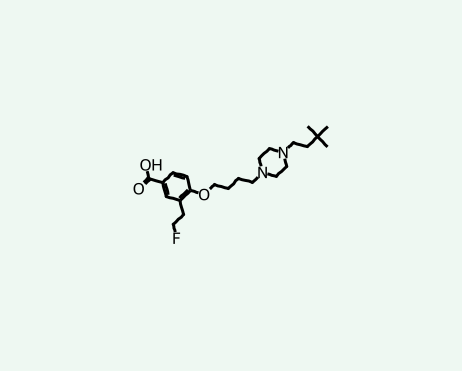 CC(C)(C)CCN1CCN(CCCCOc2ccc(C(=O)O)cc2CCF)CC1